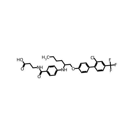 CCCCC(COc1ccc(-c2ccc(C(F)(F)F)cc2Cl)cc1)Nc1ccc(C(=O)NCCC(=O)O)cc1